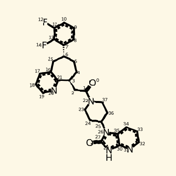 O=C(C[C@@H]1CC[C@@H](c2cccc(F)c2F)Cc2cccnc21)N1CCC(n2c(=O)[nH]c3ncccc32)CC1